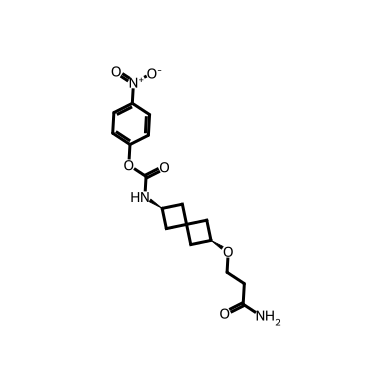 NC(=O)CCO[C@H]1CC2(C[C@H](NC(=O)Oc3ccc([N+](=O)[O-])cc3)C2)C1